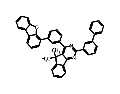 CC1(C)c2ccccc2-c2nc(-c3cccc(-c4ccccc4)c3)nc(-c3cccc(-c4cccc5c4oc4ccccc45)c3)c21